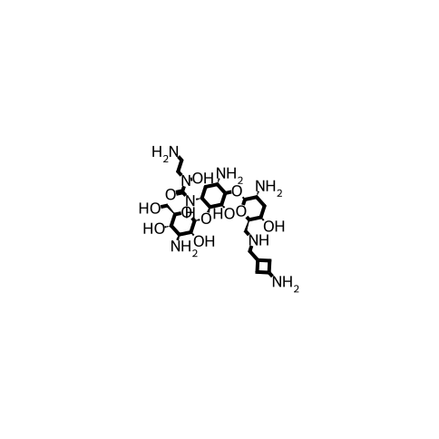 NCCN(O)C(=O)N[C@@H]1C[C@H](N)C(O[C@H]2O[C@H](CNCC3CC(N)C3)[C@@H](O)C[C@H]2N)[C@H](O)[C@H]1O[C@H]1O[C@H](CO)[C@@H](O)[C@H](N)[C@H]1O